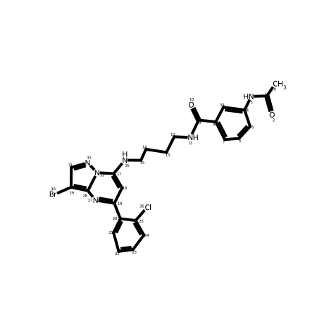 CC(=O)Nc1cccc(C(=O)NCCCCNc2cc(-c3ccccc3Cl)nc3c(Br)cnn23)c1